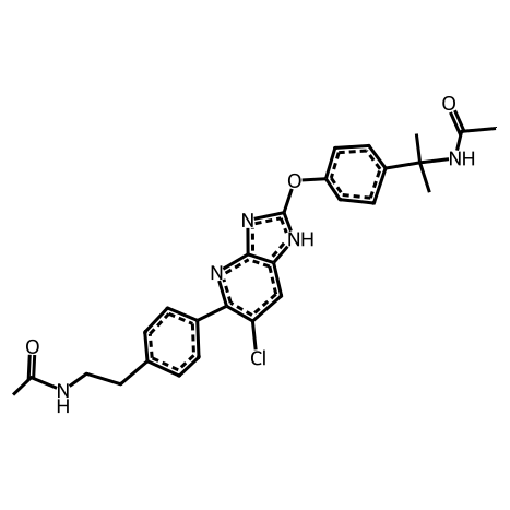 CC(=O)NCCc1ccc(-c2nc3nc(Oc4ccc(C(C)(C)NC(C)=O)cc4)[nH]c3cc2Cl)cc1